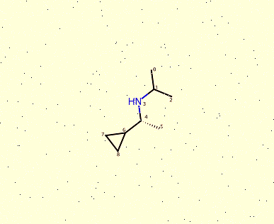 CC(C)N[C@H](C)C1CC1